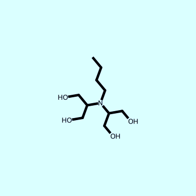 CCCCN(C(CO)CO)C(CO)CO